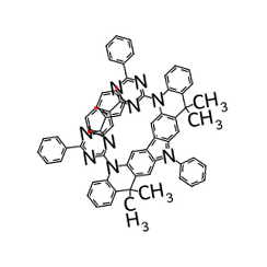 CC1(C)c2ccccc2N(c2nc(-c3ccccc3)nc(-c3ccccc3)n2)c2cc3c4cc5c(cc4n(-c4ccccc4)c3cc21)C(C)(C)c1ccccc1N5c1nc(-c2ccccc2)nc(-c2ccccc2)n1